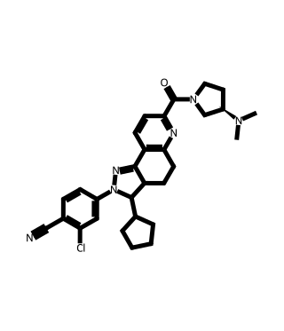 CN(C)[C@@H]1CCN(C(=O)c2ccc3c(n2)CCC2C3=NN(c3ccc(C#N)c(Cl)c3)C2C2CCCC2)C1